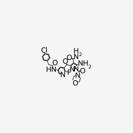 NC(=O)c1c(C(=O)c2cc(NC(=O)Cc3ccc(Cl)cc3)cnc2F)nn(C(=O)N2CCOCC2)c1N